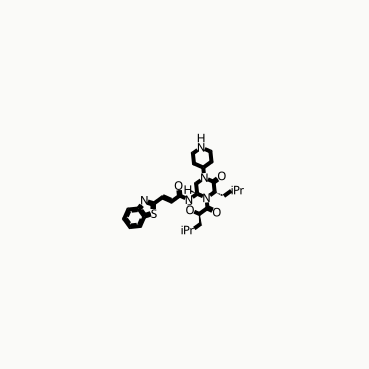 CC(C)C[C@H]1ON(C(=O)/C=C/c2nc3ccccc3s2)[C@H]2CN(C3CCNCC3)C(=O)[C@H](CC(C)C)N2C1=O